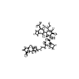 CCC(C)C(C(CC(=O)N1CCCC1C(OC)C(C)C)OC)N(C)C(=O)CNC(=O)C1C2CCC(C2)N1C(=O)CCCn1cc(CN2C(=O)C=CC2=O)nn1